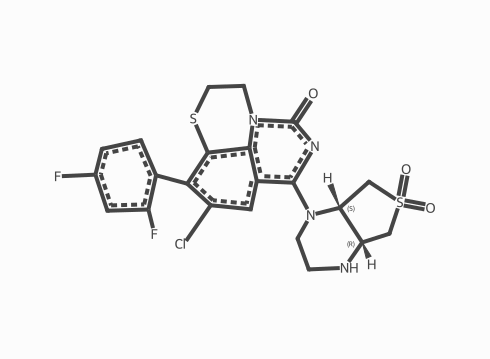 O=c1nc(N2CCN[C@H]3CS(=O)(=O)C[C@H]32)c2cc(Cl)c(-c3ccc(F)cc3F)c3c2n1CCS3